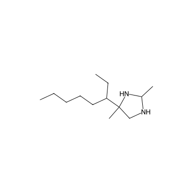 CCCCCC(CC)C1(C)CNC(C)N1